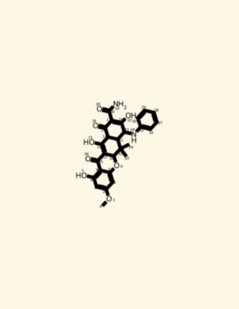 COc1cc(O)c2c(c1)OC1C(=C(O)C3C(=O)C(C(N)=O)=C(O)C(Nc4ccccc4)C3C1(C)C)C2=O